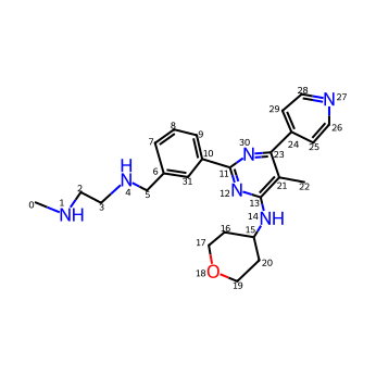 CNCCNCc1cccc(-c2nc(NC3CCOCC3)c(C)c(-c3ccncc3)n2)c1